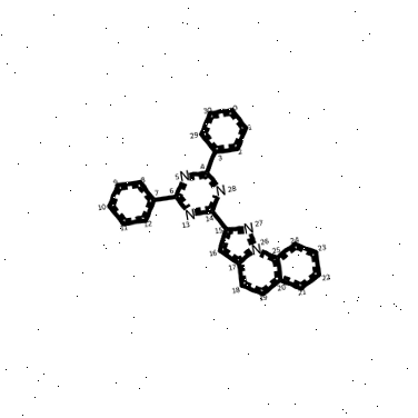 c1ccc(-c2nc(-c3ccccc3)nc(-c3cc4ccc5ccccc5n4n3)n2)cc1